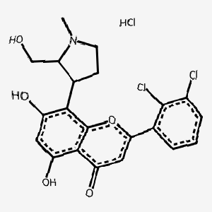 CN1CCC(c2c(O)cc(O)c3c(=O)cc(-c4cccc(Cl)c4Cl)oc23)C1CO.Cl